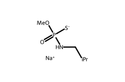 COP(=O)([S-])NCC(C)C.[Na+]